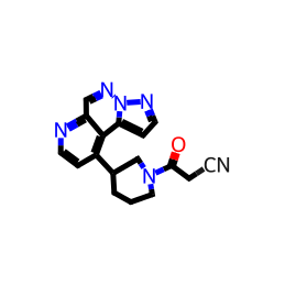 N#CCC(=O)N1CCCC(c2ccnc3cnn4nccc4c23)C1